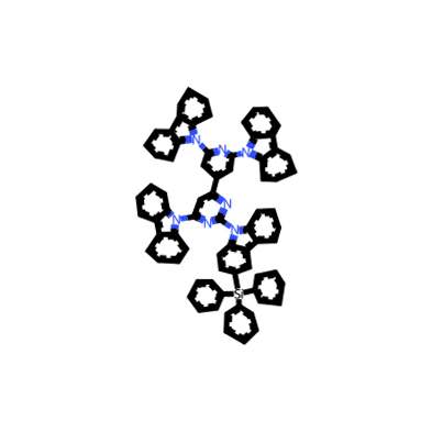 c1ccc([Si](c2ccccc2)(c2ccccc2)c2ccc3c(c2)c2ccccc2n3-c2nc(-c3cc(-n4c5ccccc5c5ccccc54)nc(-n4c5ccccc5c5ccccc54)c3)cc(-n3c4ccccc4c4ccccc43)n2)cc1